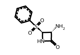 N[C@@H]1C(=O)N[C@H]1S(=O)(=O)c1ccccc1